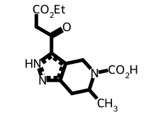 CCOC(=O)CC(=O)c1[nH]nc2c1CN(C(=O)O)C(C)C2